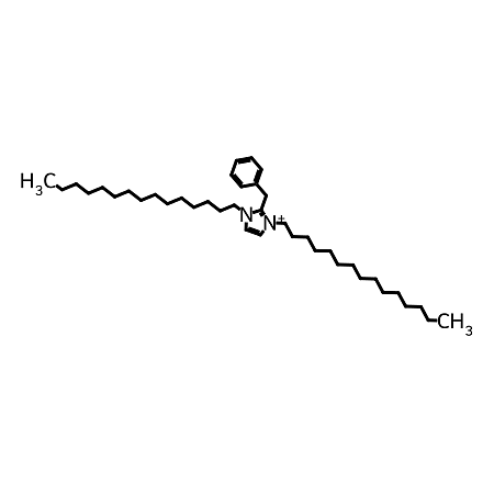 CCCCCCCCCCCCCCCn1cc[n+](CCCCCCCCCCCCCCC)c1Cc1ccccc1